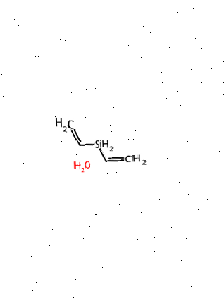 C=C[SiH2]C=C.O